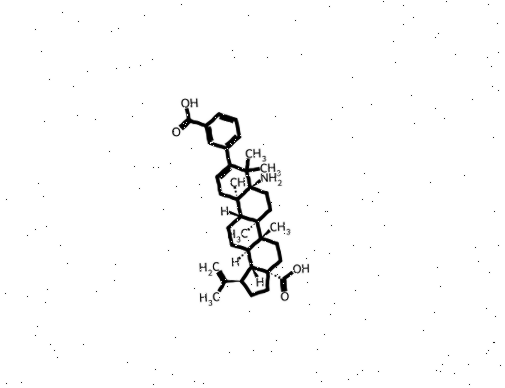 C=C(C)[C@@H]1CC[C@]2(C(=O)O)CC[C@]3(C)[C@H](CC[C@@H]4[C@@]5(C)CC=C(c6cccc(C(=O)O)c6)C(C)(C)[C@]5(N)CC[C@]43C)[C@@H]12